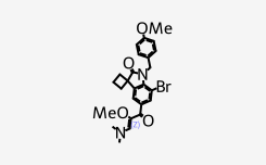 CO/C(=C\N(C)C)C(=O)c1cc(Br)c2c(c1)C1(CCC1)C(=O)N2Cc1ccc(OC)cc1